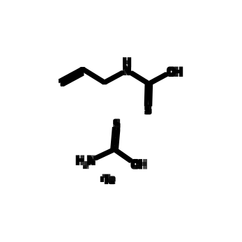 C=CCNC(O)=S.NC(O)=S.[Te]